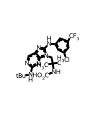 CC(C)(C)Nc1ncc2nc(Nc3cc(Cl)cc(C(F)(F)F)c3)n(CC(C)(C)NC(=O)O)c2n1